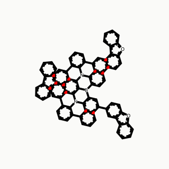 c1ccc(-c2cccc(-c3ccccc3)c2N2c3ccc(-c4ccc5oc6ccccc6c5c4)cc3B3c4ccc(-c5ccc6oc7ccccc7c6c5)cc4N(c4c(-c5ccccc5)cccc4-c4ccccc4)c4cc(-n5c6ccccc6c6ccccc65)cc2c43)cc1